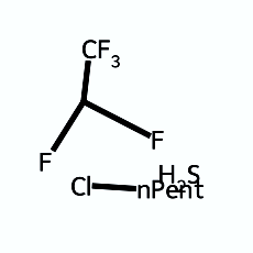 CCCCCCl.FC(F)C(F)(F)F.S